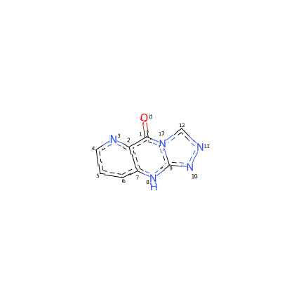 O=c1c2ncccc2[nH]c2nncn12